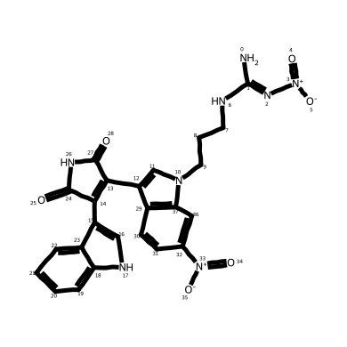 NC(=N[N+](=O)[O-])NCCCn1cc(C2=C(c3c[nH]c4ccccc34)C(=O)NC2=O)c2ccc([N+](=O)[O-])cc21